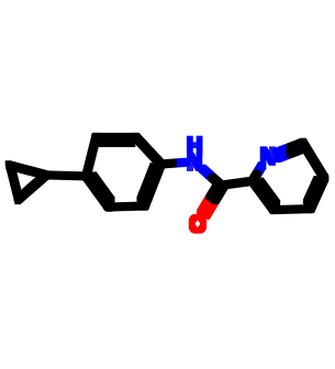 O=C(Nc1ccc(C2CC2)cc1)c1ccccn1